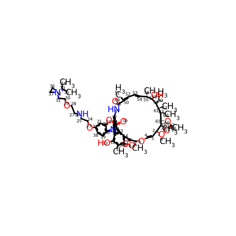 CO[C@H]1/C=C/O[C@@]2(C)Oc3c(C)c(O)c4c(=O)c(c5oc6cc(OCCNCCOCC[N+]7(C(C)C)CC7)ccc6nc-5c4c3C2=O)NC(=O)/C(C)=C\C=C\[C@H](C)[C@H](O)[C@@H](C)[C@@H](C)[C@@H](C)[C@H](OC(C)=O)[C@@H]1C